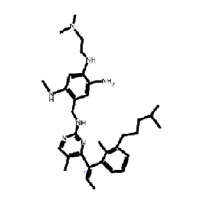 C/C=C(\c1cccc(CCCC(C)C)c1C)c1nc(NCc2cc(N)c(NCCN(C)C)cc2NC)ncc1C